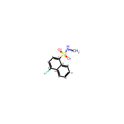 [CH2]NS(=O)(=O)c1ccc(F)c2ccccc12